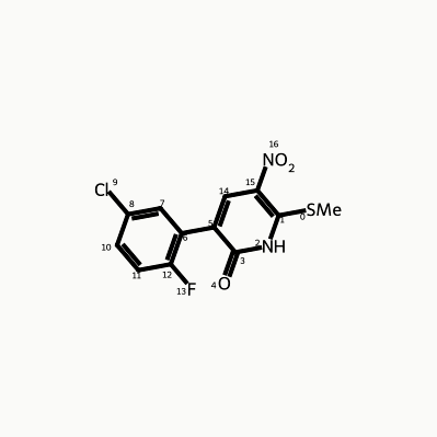 CSc1[nH]c(=O)c(-c2cc(Cl)ccc2F)cc1[N+](=O)[O-]